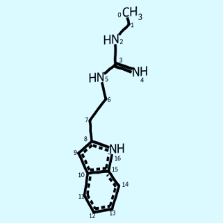 CCNC(=N)NCCc1cc2ccccc2[nH]1